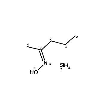 CCCC(C)=NO.[SiH4]